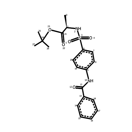 C[C@@H](NS(=O)(=O)c1ccc(NC(=O)c2ccccc2)cc1)C(=O)OC(C)(C)C